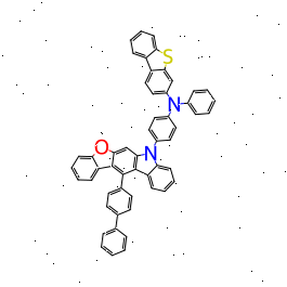 c1ccc(-c2ccc(-c3c4c(cc5c3c3ccccc3n5-c3ccc(N(c5ccccc5)c5ccc6c(c5)sc5ccccc56)cc3)oc3ccccc34)cc2)cc1